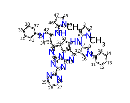 Cn1cccc1Nc1cn(-c2ccccc2)cc1-c1nc2nc(-c3ncccn3)nc3nc(-c4cn(-c5ccccc5)cc4Nc4cccn4C)c4ccc1c4n23